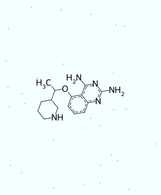 CC(Oc1cccc2nc(N)nc(N)c12)C1CCCNC1